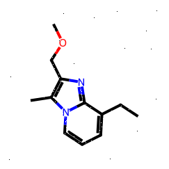 CCc1cccn2c(C)c(COC)nc12